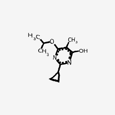 Cc1c(O)nc(C2CC2)nc1OC(C)C